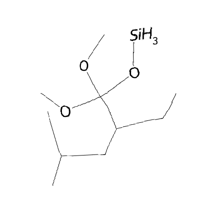 CCC(CC(C)C)C(OC)(OC)O[SiH3]